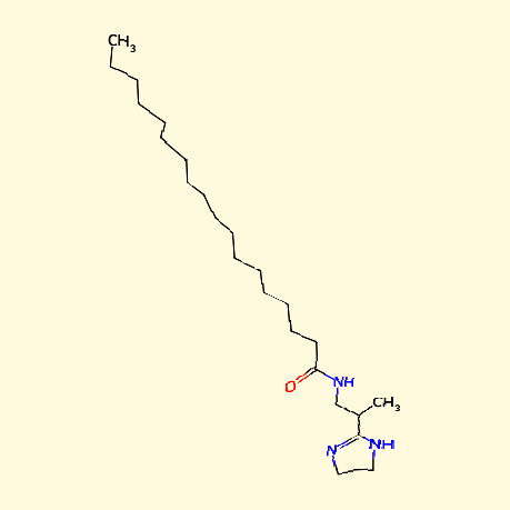 CCCCCCCCCCCCCCCCCC(=O)NCC(C)C1=NCCN1